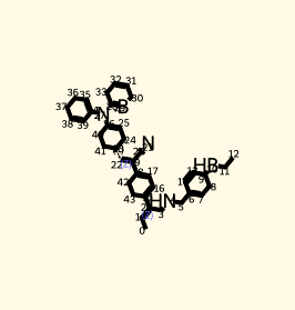 C/C=C(\CNCC1=CCC(BCC)C#C1)C1=CC=C(/C(C#N)=C/[C@H]2CC=C(N(C3=BCC=CC3)C3=CCCC=C3)CC2)CC1